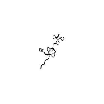 CCCCC[C@]1(CBr)OC[C@@H](COS(C)(=O)=O)O1